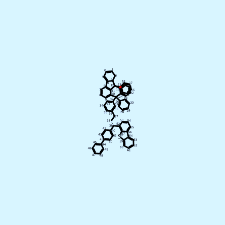 C1=CCC2C(=C1)c1cccc3c1C2(c1ccccc1)c1ccccc1C3(c1ccccc1)c1cccc(CC[C@@H](c2ccc(-c3ccccc3)cc2)c2cccc3c2sc2ccccc23)c1